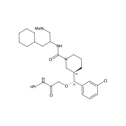 CCCNC(=O)CO[C@@H](c1cccc(Cl)c1)[C@@H]1CCCN(C(=O)NC(CNC)CC2CCCCC2)C1